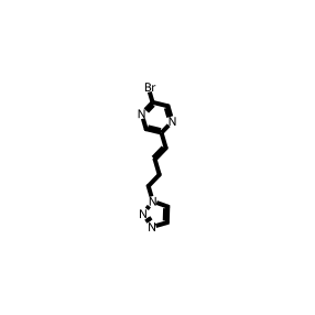 Brc1cnc(C=CCCn2ccnn2)cn1